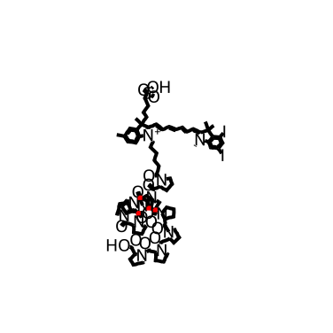 Cc1ccc2c(c1)C(C)(CCCCS(=O)(=O)O)C(/C=C/C=C/C=C/C=C1\N(C)c3cc(I)cc(I)c3C1(C)C)=[N+]2CCCCCC(=O)N1CCCC1C(=O)N1CCCC1C(=O)N1CCCC1C(=O)N1CCCC1C(=O)N1CCCC1C(=O)N1CCCC1C(=O)N1CCCC1C(=O)N1CCCC1C(=O)N1CCCC1C(=O)N1CCCC1C(=O)O